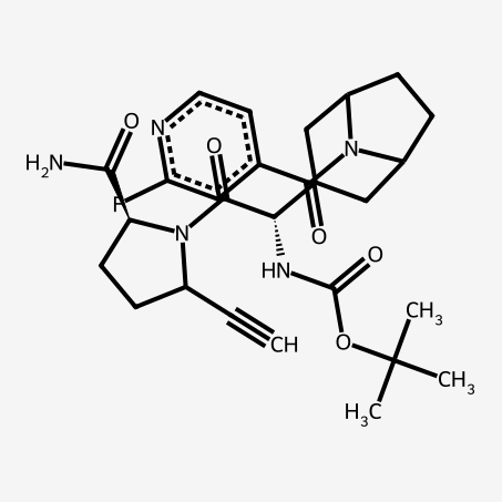 C#CC1CC[C@@H](C(N)=O)N1C(=O)[C@@H](NC(=O)OC(C)(C)C)C1CC2CCC(C1)N2C(=O)c1ccnc(F)c1